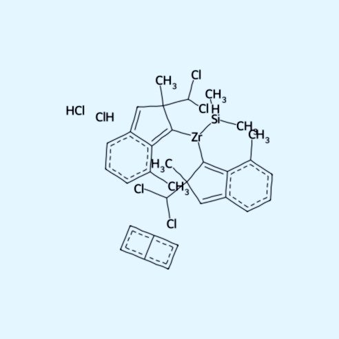 Cc1cccc2c1=[C]([Zr]([C]1=c3c(C)cccc3=CC1(C)C(Cl)Cl)[SiH](C)C)C(C)(C(Cl)Cl)C=2.Cl.Cl.c1cc2ccc1-2